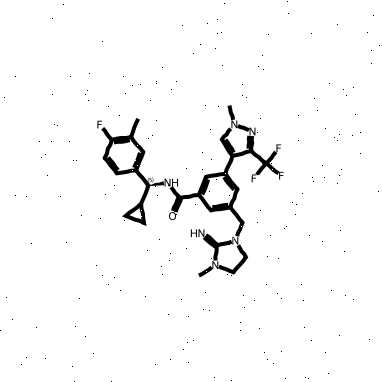 Cc1cc([C@@H](NC(=O)c2cc(CN3CCN(C)C3=N)cc(-c3cn(C)nc3C(F)(F)F)c2)C2CC2)ccc1F